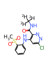 [2H]C([2H])([2H])NC(=O)c1nnc(Cl)cc1Nc1ccccc1S(C)(=O)=O